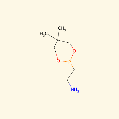 CC1(C)COP(CCN)OC1